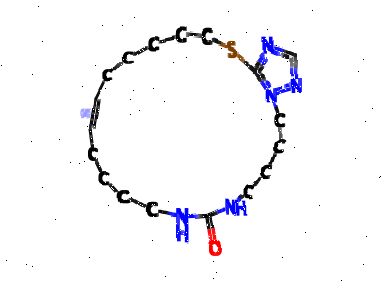 O=C1NCCCC/C=C\CCCCCSc2ncnn2CCCCN1